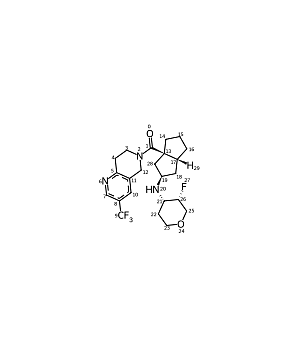 O=C(N1CCc2ncc(C(F)(F)F)cc2C1)[C@@]12CCC[C@@H]1C[C@@H](N[C@H]1CCOC[C@H]1F)C2